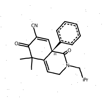 CC(C)CN1CC=C2C(C)(C)C(=O)C(C#N)=C[C@]2(c2ccccc2)C1=O